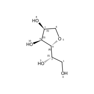 OC[C@H](O)[C@H]1OC[C@H](O)[C@@H]1O